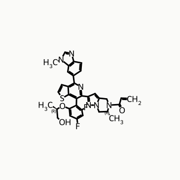 C=CC(=O)N1Cc2cc(-c3nc(-c4ccc5ncn(C)c5c4)c4ccsc4c3-c3c(F)cc(F)cc3O[C@H](C)CO)nn2C[C@H]1C